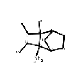 CCC1(C)C2CCC(C2)C1(N)CC